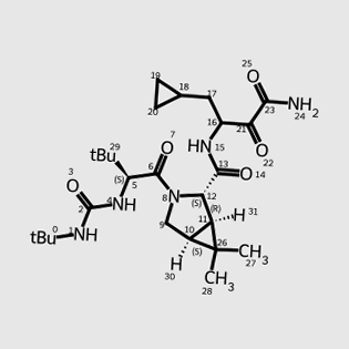 CC(C)(C)NC(=O)N[C@H](C(=O)N1C[C@H]2[C@@H]([C@H]1C(=O)NC(CC1CC1)C(=O)C(N)=O)C2(C)C)C(C)(C)C